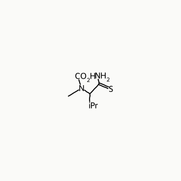 CC(C)C(C(N)=S)N(C)C(=O)O